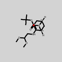 COC(CNC1=NC[C@@H]2C[C@H]1N2C(=O)OC(C)(C)C)OC